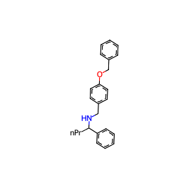 CCCC(NCc1ccc(OCc2ccccc2)cc1)c1ccccc1